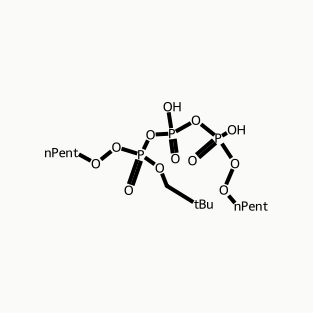 CCCCCOOP(=O)(O)OP(=O)(O)OP(=O)(OCC(C)(C)C)OOCCCCC